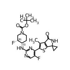 Cc1c(-c2nc(N[C@H]3CCN(C(=O)OC(C)(C)C)C[C@H]3F)ncc2F)sc2c1C(=O)NC21CC1